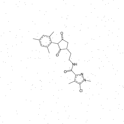 Cc1cc(C)c(C2C(=O)CC(CCNC(=O)c3nn(C)c(Cl)c3C)C2=O)c(C)c1